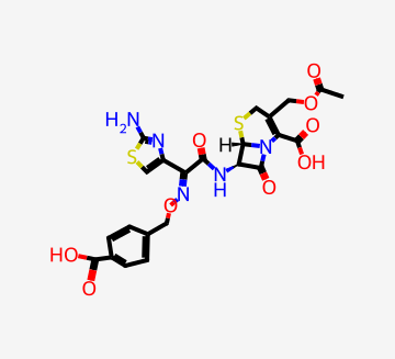 CC(=O)OCC1=C(C(=O)O)N2C(=O)[C@@H](NC(=O)C(=NOCc3ccc(C(=O)O)cc3)c3csc(N)n3)[C@@H]2SC1